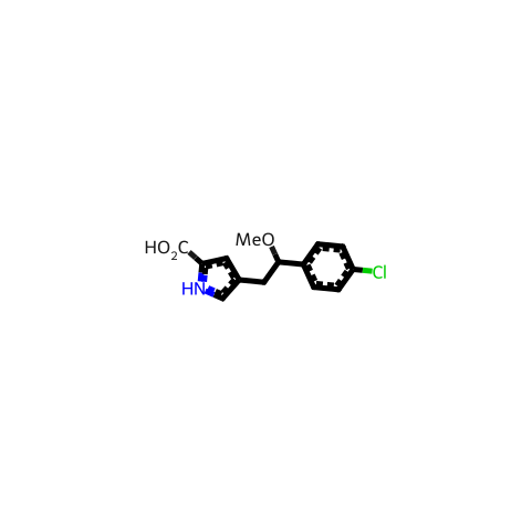 COC(Cc1c[nH]c(C(=O)O)c1)c1ccc(Cl)cc1